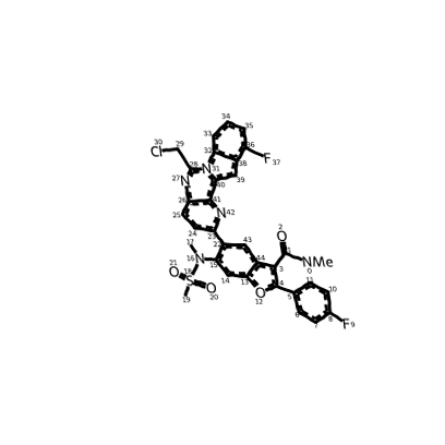 CNC(=O)c1c(-c2ccc(F)cc2)oc2cc(N(C)S(C)(=O)=O)c(-c3ccc4nc(CCl)n5c6cccc(F)c6cc5c4n3)cc12